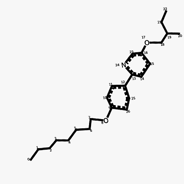 CCCCCCCCOc1ccc(-c2ccc(OCC(C)CC)cn2)cc1